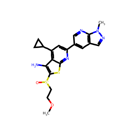 COCC[S+]([O-])c1sc2nc(-c3cnc4c(cnn4C)c3)cc(C3CC3)c2c1N